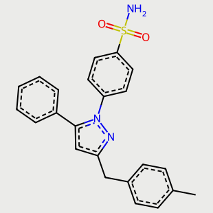 Cc1ccc(Cc2cc(-c3ccccc3)n(-c3ccc(S(N)(=O)=O)cc3)n2)cc1